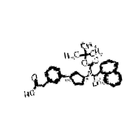 C[C@H](c1cccc2ccccc12)N(C(=O)OC(C)(C)C)[C@H]1CC[C@@H](c2cccc(CC(=O)O)c2)C1